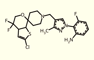 Cc1nn(-c2c(N)cccc2F)cc1CN1CCC2(CC1)OCC(F)(F)C1C=C(Cl)SC12